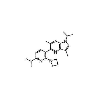 Cc1cc2c(nc1-c1ccc(C(C)C)nc1N1CCC1)c(C)cn2C(C)C